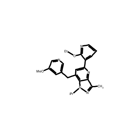 CCOc1ncccc1-c1cc(Cc2cncc(OC)c2)c2c(n1)c(C)nn2C(C)C